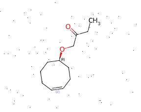 CCC(=O)CO[C@H]1CC/C=C\CCC1